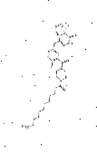 O=C(O)CCCCCCCCCCC(=O)N1CCN(C(=O)c2cc(Cc3n[nH]c(=O)c4ccccc34)ccc2F)CC1